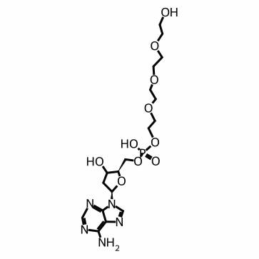 Nc1ncnc2c1ncn2[C@H]1CC(O)[C@@H](COP(=O)(O)OCCOCCOCCOCCO)O1